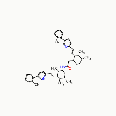 C[C@H]1[C@H](/C=C/c2ccc(-c3ccccc3C#N)cn2)[C@H](C)[C@H](NC(=O)C[C@@H]2CC[C@H](C)[C@@H](C)[C@@H]2/C=C/c2ccc(-c3ccccc3C#N)cn2)C[C@@H]1C